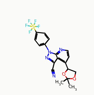 CC1(C)OCC(c2ccnc3c2c(C#N)nn3-c2ccc(S(F)(F)(F)(F)F)cc2)O1